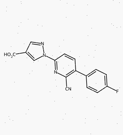 N#Cc1nc(-n2cc(C(=O)O)cn2)ccc1-c1ccc(F)cc1